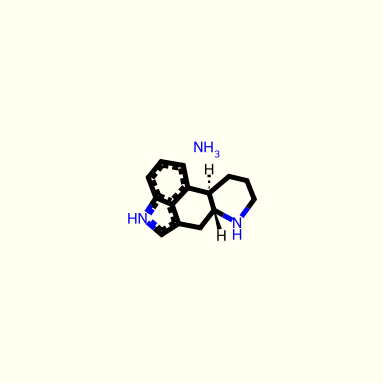 N.c1cc2c3c(c[nH]c3c1)C[C@H]1NCCC[C@H]21